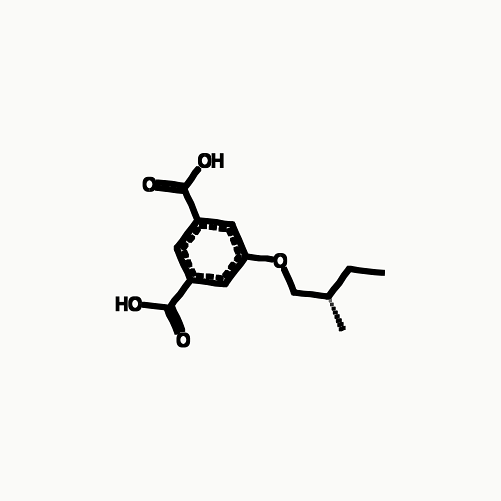 CC[C@H](C)COc1cc(C(=O)O)cc(C(=O)O)c1